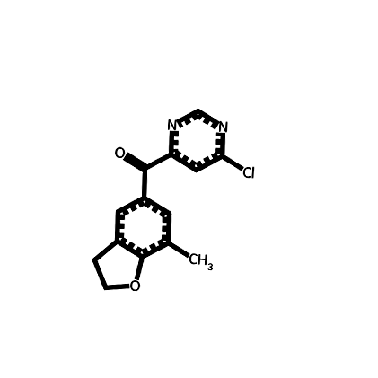 Cc1cc(C(=O)c2cc(Cl)ncn2)cc2c1OCC2